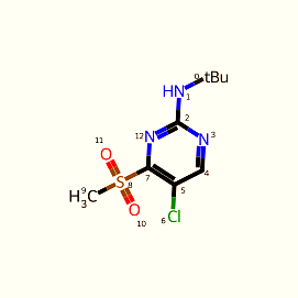 CC(C)(C)Nc1ncc(Cl)c(S(C)(=O)=O)n1